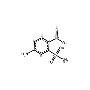 Nc1cnc([N+](=O)[O-])c(S(N)(=O)=O)c1